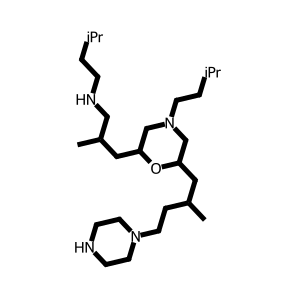 CC(C)CCNCC(C)CC1CN(CCC(C)C)CC(CC(C)CCN2CCNCC2)O1